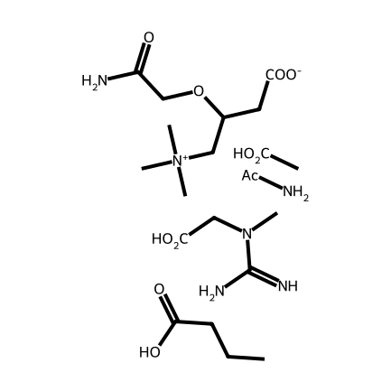 CC(=O)O.CC(N)=O.CCCC(=O)O.CN(CC(=O)O)C(=N)N.C[N+](C)(C)CC(CC(=O)[O-])OCC(N)=O